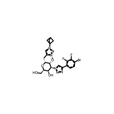 CO[C@@H]1[C@@H](n2cc(-c3ccc(Br)c(F)c3F)nn2)[C@@H](O)[C@@H](CO)O[C@@H]1Cc1cn(C23CC(C2)C3)nn1